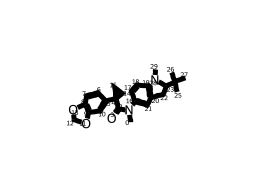 CN(C(=O)C1(c2ccc3c(c2)OCO3)CC1)c1ccc2c(c1)CC(C(C)(C)C)N2C